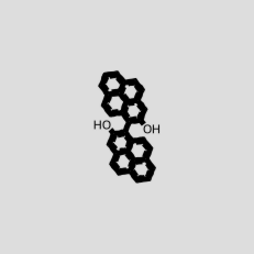 Oc1cc2ccc3cccc4ccc(c1-c1c(O)cc5ccc6cccc7ccc1c5c67)c2c34